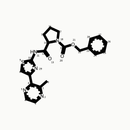 Cc1nccnc1-c1csc(NC(=O)C2CCCN2C(=O)OCc2ccccc2)n1